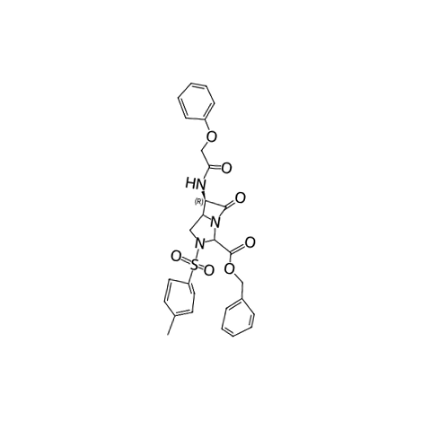 Cc1ccc(S(=O)(=O)N2CC3[C@@H](NC(=O)COc4ccccc4)C(=O)N3C2C(=O)OCc2ccccc2)cc1